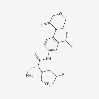 NC[C@H](C(=O)Nc1ccc(N2CCOCC2=O)c(C(F)F)c1)N(CC(F)F)CC(F)(F)F